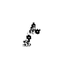 CCOC(Cc1ccc(OCCN(CCCC(C)C)C(=O)Nc2cccc(C)c2)cc1)C(=O)O